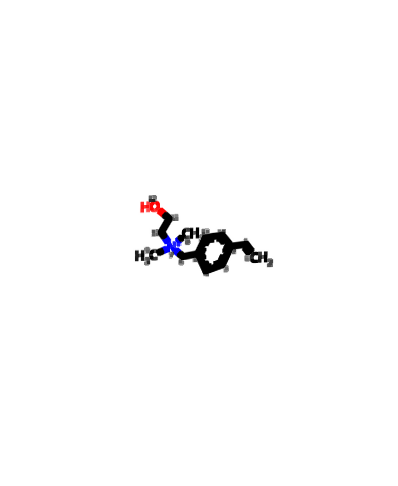 C=Cc1ccc(C[N+](C)(C)CCO)cc1